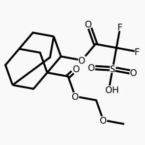 COCOC(=O)C12CC3CC(CC(C3)C1OC(=O)C(F)(F)S(=O)(=O)O)C2